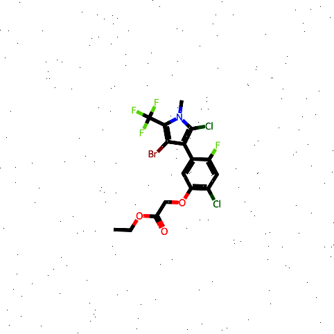 CCOC(=O)COc1cc(-c2c(Br)c(C(F)(F)F)n(C)c2Cl)c(F)cc1Cl